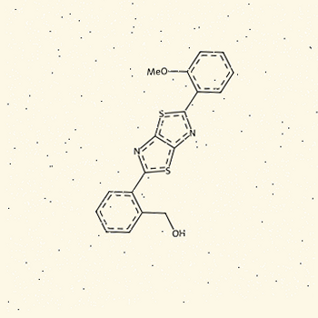 COc1ccccc1-c1nc2sc(-c3ccccc3CO)nc2s1